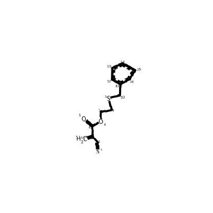 C=C(C=S)C(=O)OCCSCc1ccccc1